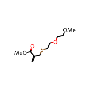 C=C(CSCCOCCOC)C(=O)OC